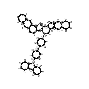 c1ccc2cc3c(ccc4c3nc3c5sc6cc7ccccc7cc6c5cc(-c5ccc(-c6ccc(-n7c8ccccc8c8ccccc87)cc6)cc5)n43)cc2c1